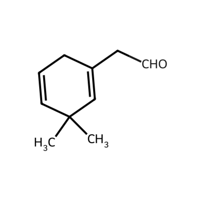 CC1(C)C=CCC(CC=O)=C1